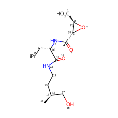 CC(C)C[C@H](NC(=O)[C@H]1O[C@@H]1C(=O)O)C(=O)NCC[C@H](C)CO